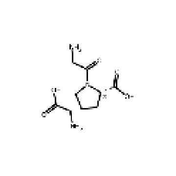 NCC(=O)N1CCC[C@H]1C(=O)O.NCC(=O)O